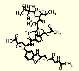 CC[C@H](C)[C@H](NC(=O)C(C)(C)N(C)C)C(=O)N(C)[C@H](C[C@@H](OC(C)=O)c1nc(C(=O)N[C@@H](Cc2ccc(O)c(NC(=O)CNC(=O)CNC(C)=O)c2)C[C@H](C)C(=O)O)cs1)C(C)C